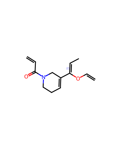 C=CO/C(=C\C)C1=CCCN(C(=O)C=C)C1